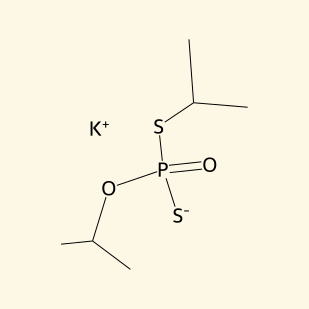 CC(C)OP(=O)([S-])SC(C)C.[K+]